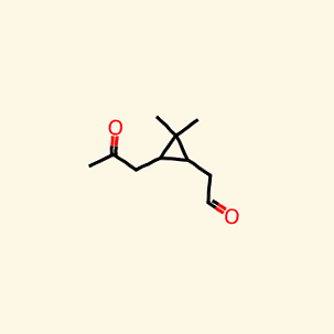 CC(=O)CC1C(CC=O)C1(C)C